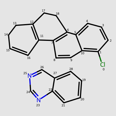 Clc1cccc2c3c(ccc12)C1=C(CCC=C1)CC3.c1ccc2ncncc2c1